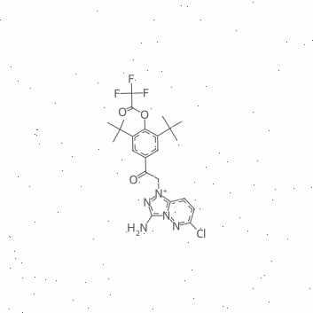 CC(C)(C)c1cc(C(=O)C[n+]2nc(N)n3nc(Cl)ccc32)cc(C(C)(C)C)c1OC(=O)C(F)(F)F